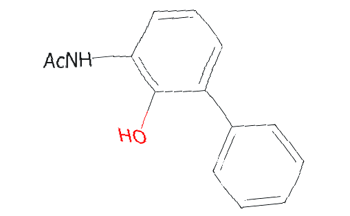 CC(=O)Nc1cccc(-c2ccccc2)c1O